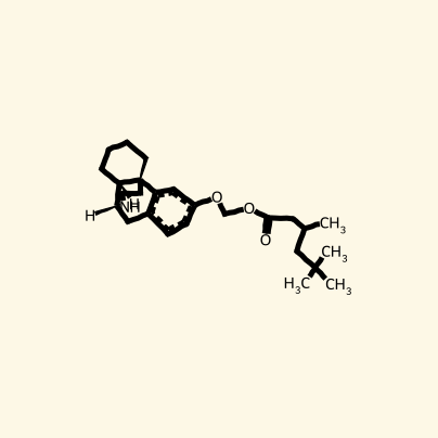 CC(CC(=O)OCOc1ccc2c(c1)[C@@]13CCCC[C@H]1[C@@H](C2)NCC3)CC(C)(C)C